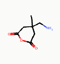 CC1(CN)CC(=O)OC(=O)C1